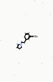 CC(C)(C)C1=CC(CCN2CCCC2)CC=C1